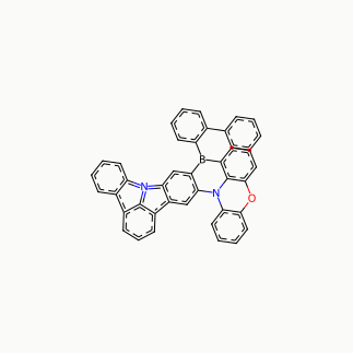 c1ccc(-c2ccccc2B2c3cc4c(cc3N3c5ccccc5Oc5cccc2c53)c2cccc3c5ccccc5n4c32)cc1